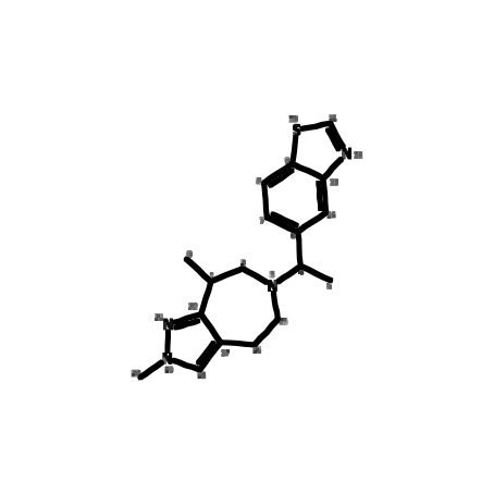 CC1CN(C(C)c2ccc3scnc3c2)CCc2cn(C)nc21